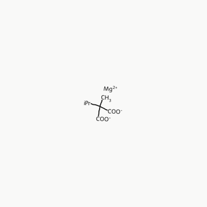 CC(C)C(C)(C(=O)[O-])C(=O)[O-].[Mg+2]